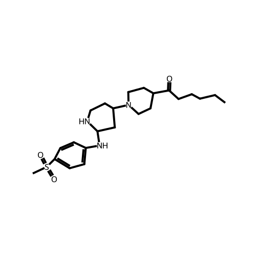 CCCCCC(=O)C1CCN(C2CCNC(Nc3ccc(S(C)(=O)=O)cc3)C2)CC1